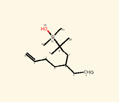 C=CCCC(CC=O)CC(C)(C)[Si](C)(C)O